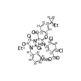 CCOC1C(=O)N(C(C(=O)Nc2cc(C(=O)OC)c(Cl)cc2Cl)C(=O)c2ccc(C3(CC)CC3)cc2)C(=O)N1Cc1ccccc1